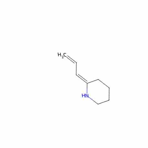 C=CC=C1CCCCN1